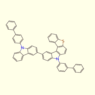 c1ccc(-c2ccc(-n3c4ccccc4c4cc(-c5ccc6c(c5)c5c7c(ccc5n6-c5cccc(-c6ccccc6)c5)sc5ccccc57)ccc43)cc2)cc1